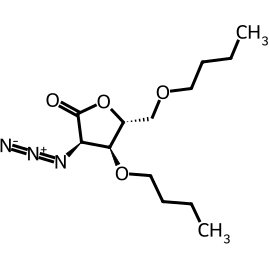 CCCCOC[C@H]1OC(=O)[C@H](N=[N+]=[N-])[C@@H]1OCCCC